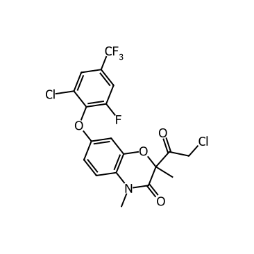 CN1C(=O)C(C)(C(=O)CCl)Oc2cc(Oc3c(F)cc(C(F)(F)F)cc3Cl)ccc21